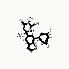 CN1C(=N)N[C@](C)(c2cc(-c3cccc(Cl)c3)c3sccc3c2)CC1=O